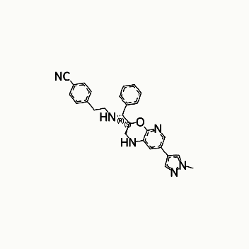 Cn1cc(-c2cnc3c(c2)NC[C@@H]([C@H](NCCc2ccc(C#N)cc2)c2ccccc2)O3)cn1